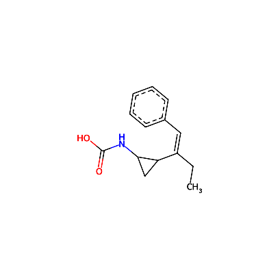 CCC(=Cc1ccccc1)C1CC1NC(=O)O